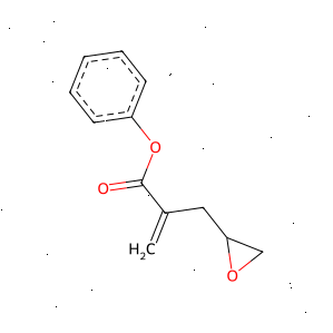 C=C(CC1CO1)C(=O)Oc1ccccc1